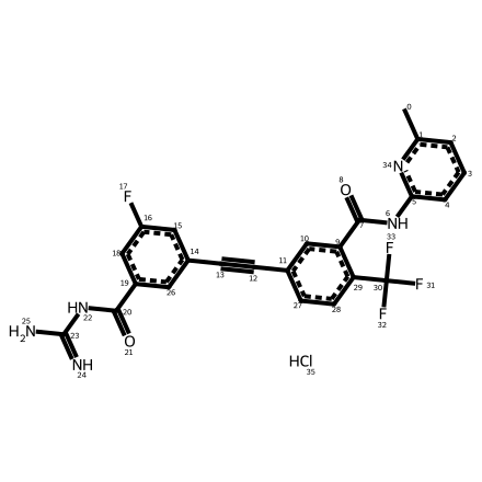 Cc1cccc(NC(=O)c2cc(C#Cc3cc(F)cc(C(=O)NC(=N)N)c3)ccc2C(F)(F)F)n1.Cl